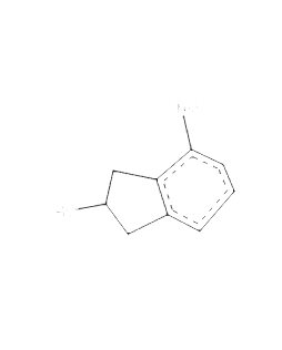 O=Nc1cccc2c1CC(O)C2